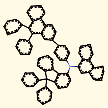 c1ccc(-c2c(-c3ccccc3)c3cc(-c4ccc(N(c5cccc6c5-c5ccccc5C6(c5ccccc5)c5ccccc5)c5cc6ccccc6c6ccccc56)cc4)ccc3c3ccccc23)cc1